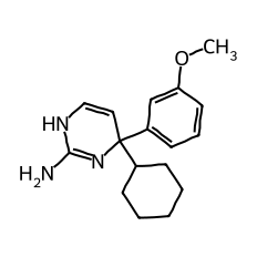 COc1cccc(C2(C3CCCCC3)C=CNC(N)=N2)c1